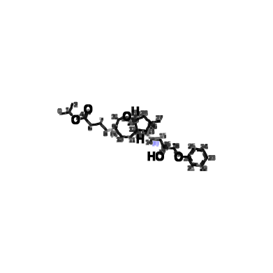 CC(C)OC(=O)CCC[C@H]1CC[C@@H]2[C@@H](/C=C/[C@@H](O)COc3ccccc3)[C@H](C)C[C@@H]2OC1